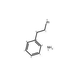 CC(C)CCc1ccccc1.N